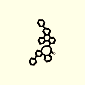 O=C1CC(c2cccc3c4ccc(-c5ccccc5)cc4c4ccccc4c23)CCc2ccc(-c3ccccc3)cc2-c2ccccc21